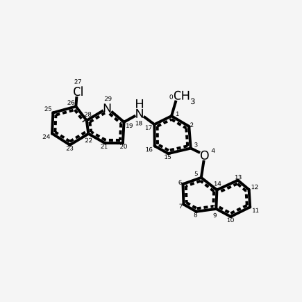 Cc1cc(Oc2cccc3ccccc23)ccc1Nc1ccc2cccc(Cl)c2n1